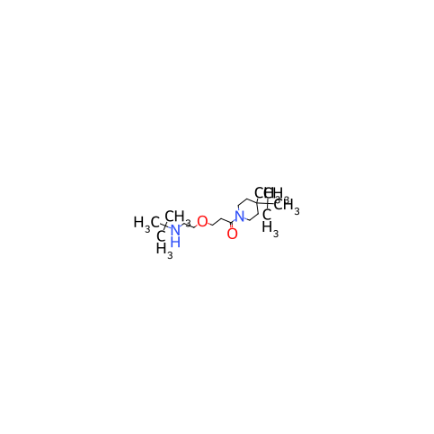 CC(C)(C)NCCOCCC(=O)N1CCC(C)(C(C)(C)C)CC1